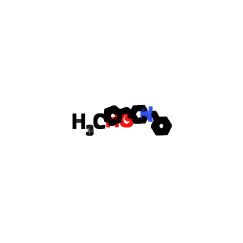 Cc1ccc(CC2(O)CCN(Cc3ccccc3)CC2)cc1